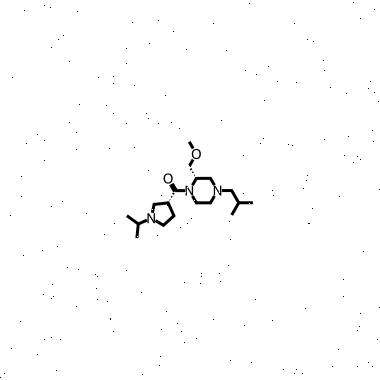 COC[C@@H]1CN(CC(C)C)CCN1C(=O)[C@@H]1CCN(C(C)C)C1